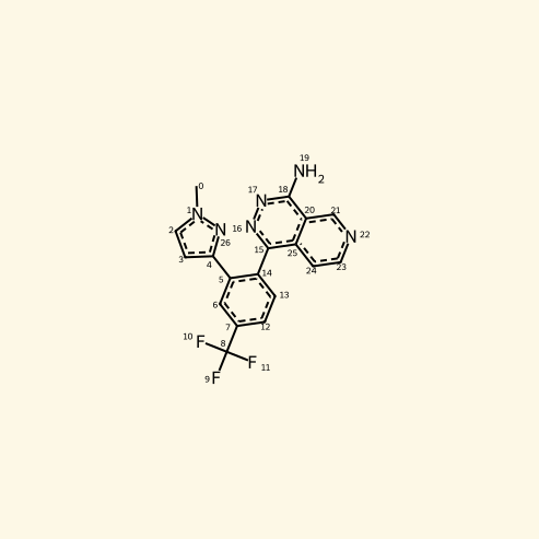 Cn1ccc(-c2cc(C(F)(F)F)ccc2-c2nnc(N)c3cnccc23)n1